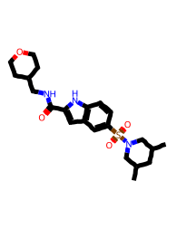 CC1CC(C)CN(S(=O)(=O)c2ccc3[nH]c(C(=O)NCC4CCOCC4)cc3c2)C1